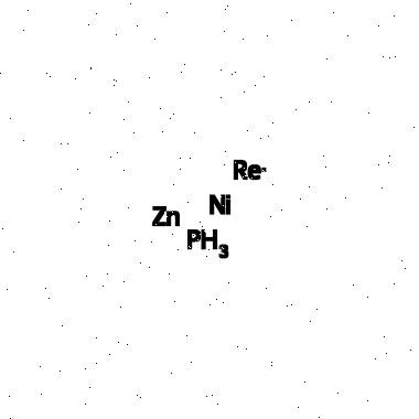 P.[Ni].[Re].[Zn]